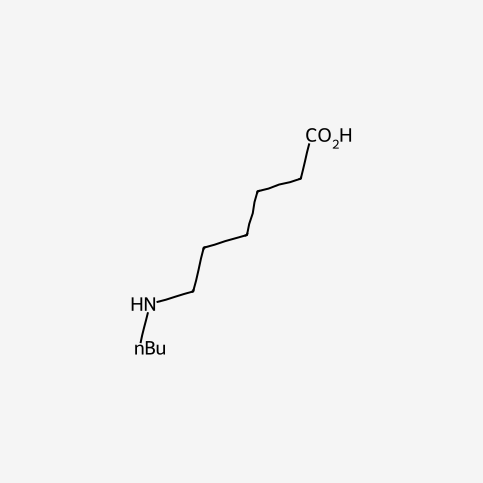 CCCCNCCCCCC(=O)O